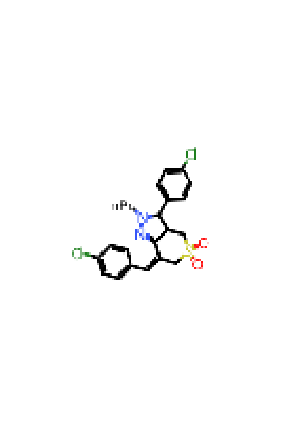 CCCN1N=C2/C(=C\c3ccc(Cl)cc3)CS(=O)(=O)CC2C1c1ccc(Cl)cc1